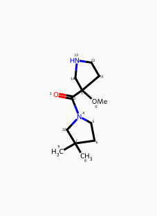 COC1(C(=O)N2CCC(C)(C)C2)CCNC1